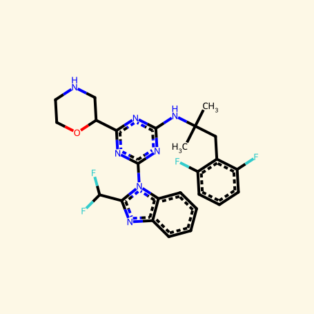 CC(C)(Cc1c(F)cccc1F)Nc1nc(C2CNCCO2)nc(-n2c(C(F)F)nc3ccccc32)n1